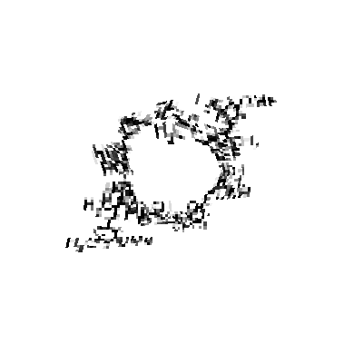 COC1CC(C)OC(CCC(C)C(O)C(C)C2OC(=O)/C(C)=C/CC(O)CC3C=CCC(CC(OC)C(C)C(O)CC(O)C(C)C(C(C)C(O)C(C)CCC4CC(OC)CC(C)O4)OC(=O)/C(C)=C/CC(O)CC4C=CCC(CC(CO)C(C)C(O)CC(O)C2C)O4)O3)C1